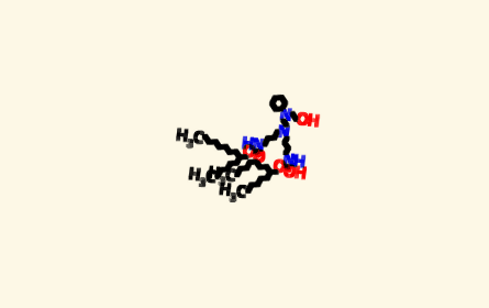 CCCCCCCCC(CCCCCC)COC(=O)NCCCCN(CCCCNC(O)OCC(CCCCCC)CCCCCCCC)CCN(CCO)C1CCCCC1